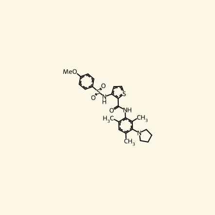 COc1ccc(S(=O)(=O)Nc2ccsc2C(=O)Nc2c(C)cc(C)c(N3CCCC3)c2C)cc1